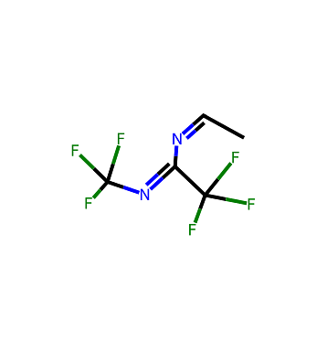 C/C=N\C(=NC(F)(F)F)C(F)(F)F